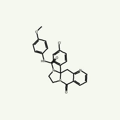 COc1ccc(NC(=O)N2CCN3C(=O)c4cccnc4CC23c2ccc(Cl)cc2)cc1